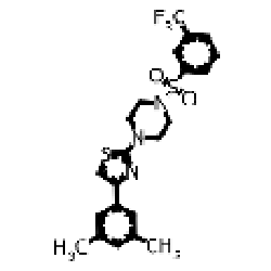 Cc1cc(C)cc(-c2csc(N3CCN(S(=O)(=O)c4cccc(C(F)(F)F)c4)CC3)n2)c1